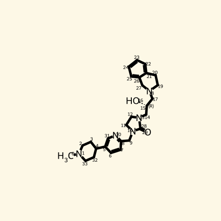 CN1CCC(c2ccc(CN3CCN(C[C@H](O)CN4CCc5ccccc5C4)C3=O)nc2)CC1